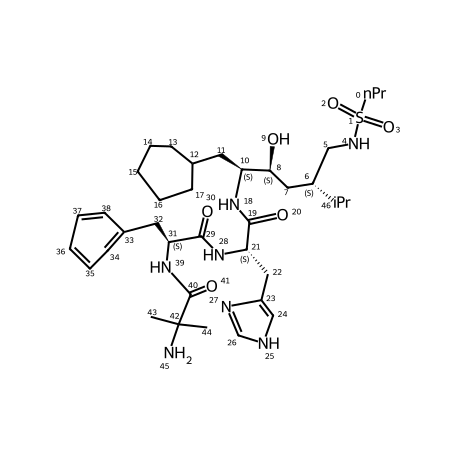 CCCS(=O)(=O)NC[C@@H](C[C@H](O)[C@H](CC1CCCCC1)NC(=O)[C@H](Cc1c[nH]cn1)NC(=O)[C@H](Cc1ccccc1)NC(=O)C(C)(C)N)C(C)C